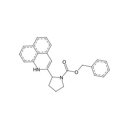 O=C(OCc1ccccc1)N1CCCC1C1=Cc2cccc3cccc(c23)N1